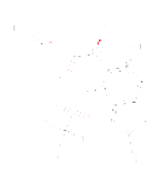 CCOC(=O)[C@@H](O)c1c(C)cc2nc(Br)sc2c1OS(=O)(=O)C(F)(F)F